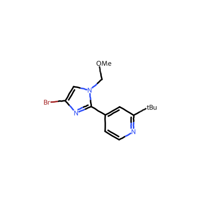 COCn1cc(Br)nc1-c1ccnc(C(C)(C)C)c1